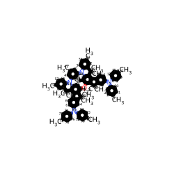 Cc1ccc(N(c2ccc(C)cc2)c2ccc3c(c2)C(C)(C)c2c4c5c6c(c2-3)C(C)(C)c2cc(C)ccc2N6c2cc(C)cc3c2[Si]5(C)c2c(c5c(c6c2N3c2ccc(C)cc2C6(C)C)-c2ccc(N(c3ccc(C)cc3)c3ccc(C)cc3)cc2C5(C)C)O4)cc1